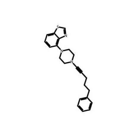 C(#CN1CCN(c2cccc3scnc23)CC1)CCCc1ccccc1